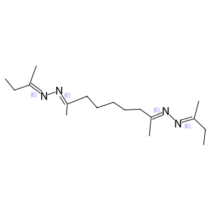 CC/C(C)=N/N=C(\C)CCCCC/C(C)=N/N=C(\C)CC